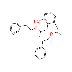 CC(Cc1cccc(O)c1CC(C)OCCc1ccccc1)OCCc1ccccc1